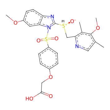 COc1ccc2nc([S@@+]([O-])Cc3ncc(C)c(OC)c3C)n(S(=O)(=O)c3ccc(OCC(=O)O)cc3)c2c1